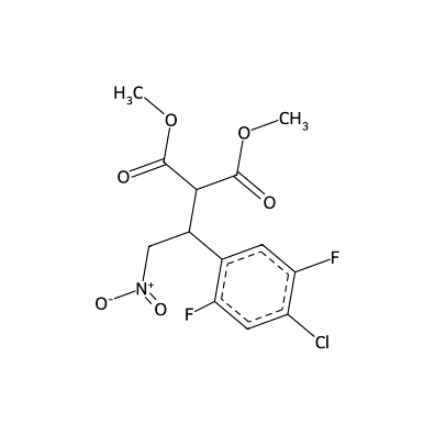 COC(=O)C(C(=O)OC)C(C[N+](=O)[O-])c1cc(F)c(Cl)cc1F